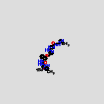 Cc1ccc(N/C(=C\C(=N)C(C)(C)C)NC(=O)Nc2ccc(OCc3ccnc(Nc4cnc(C(=O)NCCn5ccnc5C)cn4)c3)c3ccccc23)cc1